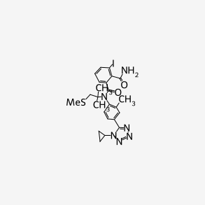 CSCC(C)(C)N(C(=O)c1cccc(I)c1C(N)=O)c1ccc(-c2nnnn2C2CC2)cc1C